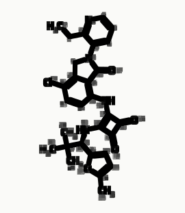 CCc1ncccc1N1Cc2c(Cl)ccc(Nc3c(N[C@@H](c4ccc(C)o4)C(C)(C)C)c(=O)c3=O)c2C1=O